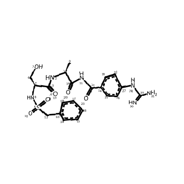 C[C@H](NC(=O)[C@H](CO)NS(=O)(=O)Cc1ccccc1)C(=O)NC(=O)c1ccc(NC(=N)N)cc1